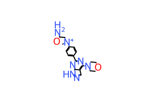 C[N+](C)(CC(N)=O)c1ccc(-c2nc(N3CCOCC3)c3cn[nH]c3n2)cc1